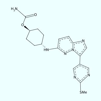 CSc1ncc(-c2cnc3ccc(N[C@H]4CC[C@H](OC(N)=O)CC4)nn23)cn1